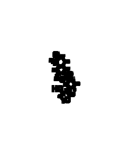 CC1OCCC(O)C1c1cccc(S(=O)(=O)c2cc3c(cc2F)N(C)C(=O)CC3)c1